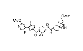 COCCC(F)(F)C1(O)CCC(NC(=O)[C@H]2CCN(C(=O)c3cc(-c4cc(OC)ncc4F)[nH]n3)C3(CC3)C2)CC1